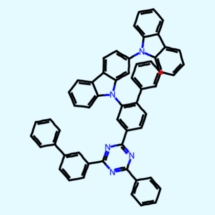 c1ccc(-c2cccc(-c3nc(-c4ccccc4)nc(-c4ccc(-c5ccccc5)c(-n5c6ccccc6c6ccc(-n7c8ccccc8c8ccccc87)cc65)c4)n3)c2)cc1